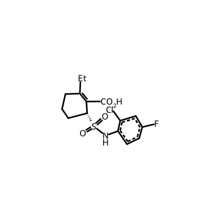 CCC1=C(C(=O)O)[C@H](S(=O)(=O)Nc2ccc(F)cc2Cl)CCC1